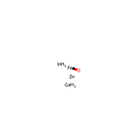 [GaH3].[InH3].[O]=[Fe].[Zn]